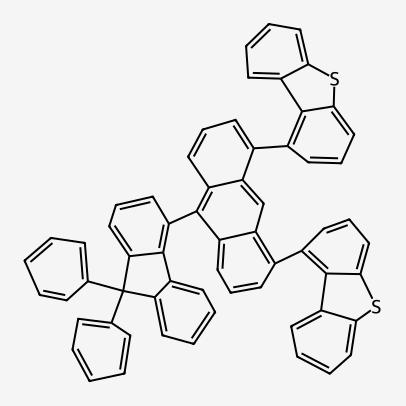 c1ccc(C2(c3ccccc3)c3ccccc3-c3c(-c4c5cccc(-c6cccc7sc8ccccc8c67)c5cc5c(-c6cccc7sc8ccccc8c67)cccc45)cccc32)cc1